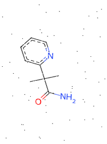 CC(C)(C(N)=O)c1ccccn1